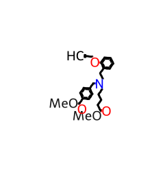 C#CCOc1ccccc1CCN(CCCCC(=O)OC)Cc1ccc(C(=O)OC)cc1